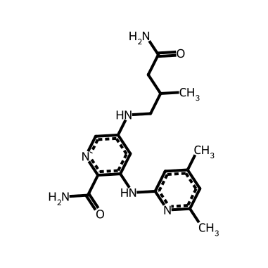 Cc1cc(C)nc(Nc2cc(NCC(C)CC(N)=O)cnc2C(N)=O)c1